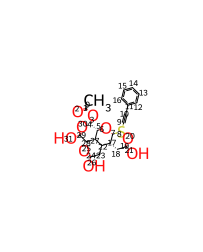 CC(=O)OC[C@@H]1O[C@@H](SC#Cc2ccccc2)[C@H](CC(=O)O)[C@@H](CC(=O)O)[C@H]1CC(=O)O